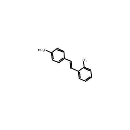 O=C(O)c1ccc(C=Cc2ccccc2C(F)(F)F)cc1